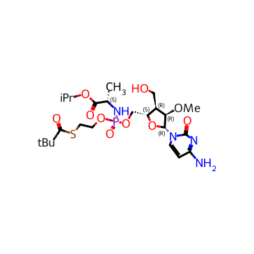 CO[C@@H]1[C@H](CO)[C@@H](COP(=O)(N[C@@H](C)C(=O)OC(C)C)OCCSC(=O)C(C)(C)C)O[C@H]1n1ccc(N)nc1=O